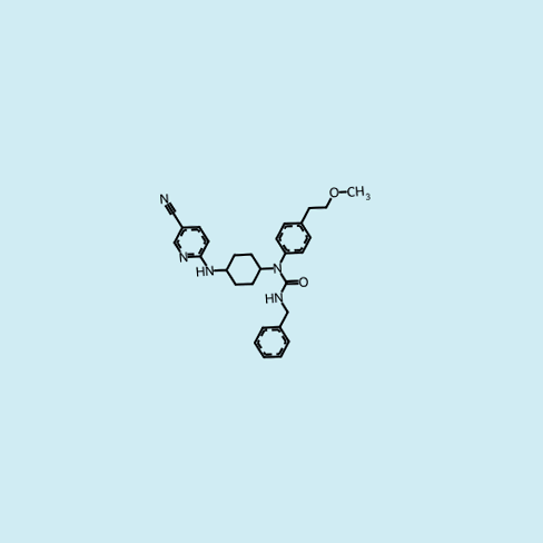 COCCc1ccc(N(C(=O)NCc2ccccc2)C2CCC(Nc3ccc(C#N)cn3)CC2)cc1